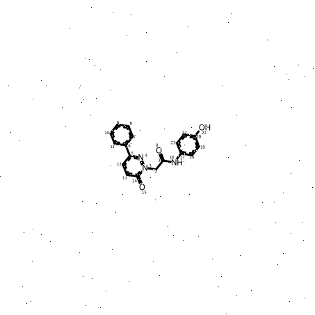 O=C(Cn1nc(-c2ccccc2)ccc1=O)Nc1ccc(O)cc1